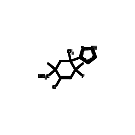 CCOC(=O)C1(C)CC(c2cc[nH]n2)(C(F)(F)F)C(C)(F)C=C1Cl